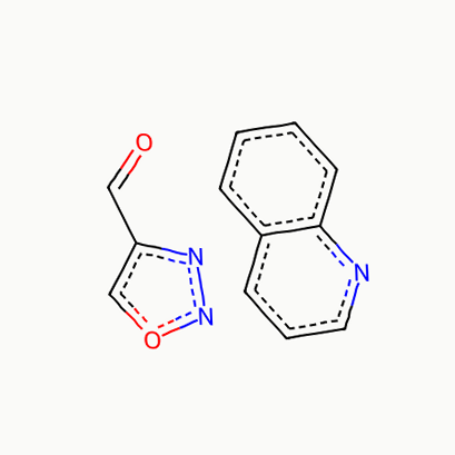 O=Cc1conn1.c1ccc2ncccc2c1